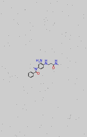 CNC(=O)CCNc1ccc(N(C)C(=O)c2ccccc2)cc1N